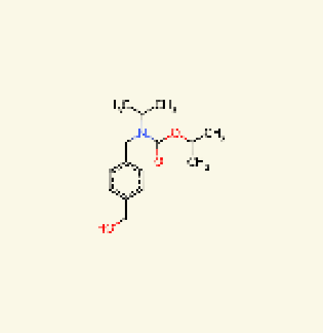 CC(C)OC(=O)N(Cc1ccc(CO)cc1)C(C)C